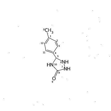 Cc1ccc(C2NNC(=O)N2)cc1